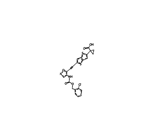 O=C(Nc1cnoc1C#Cc1cc2sc(C3(C(=O)O)CC3)cc2s1)OCc1ccccc1Cl